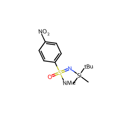 CNS(=O)(=N[Si](C)(C)C(C)(C)C)c1ccc([N+](=O)[O-])cc1